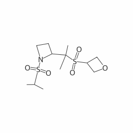 CC(C)S(=O)(=O)N1CCC1C(C)(C)S(=O)(=O)C1COC1